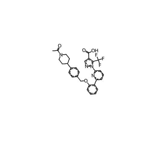 CC(=O)N1CCC(c2ccc(COc3ccccc3-c3cccc(-n4ncc(C(=O)O)c4C(F)(F)F)n3)cc2)CC1